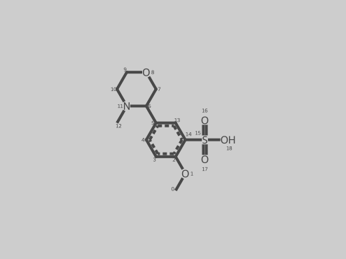 COc1ccc(C2COCCN2C)cc1S(=O)(=O)O